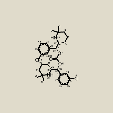 CC1(C)CCC[C@H]([C@H](OC(=O)O[C@H](c2cccc(Cl)c2)[C@H]2CCCC(C)(C)N2)c2cccc(Cl)c2)N1